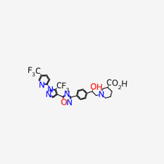 O=C(O)C1CCCN(CC(O)c2ccc(-c3noc(-c4cnn(-c5ccc(C(F)(F)F)cn5)c4C(F)(F)F)n3)cc2)C1